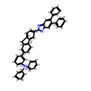 c1ccc(-c2cc3c(cc2-c2ccccc2)=NC(c2ccc4c(c2)-c2ccc(-c5cccc(N(c6ccccc6)c6ccccc6)c5)cc2C4)N=3)cc1